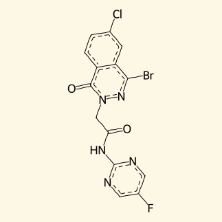 O=C(Cn1nc(Br)c2cc(Cl)ccc2c1=O)Nc1ncc(F)cn1